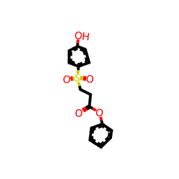 O=C(CCS(=O)(=O)c1ccc(O)cc1)Oc1ccccc1